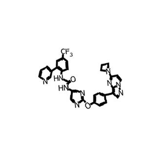 O=C(Nc1cnc(Oc2ccc(-c3cnn4ccc(N5CCC5)nc34)cc2)nc1)Nc1ccc(C(F)(F)F)cc1-c1cccnc1